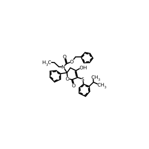 CCCN(C(=O)OCc1ccccc1)C1(c2ccccc2)CC(O)=C(Sc2ccccc2C(C)C)C(=O)O1